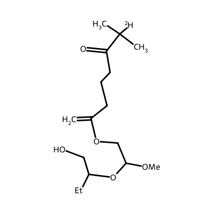 [2H]C(C)(C)C(=O)CCCC(=C)OCC(OC)OC(CC)CO